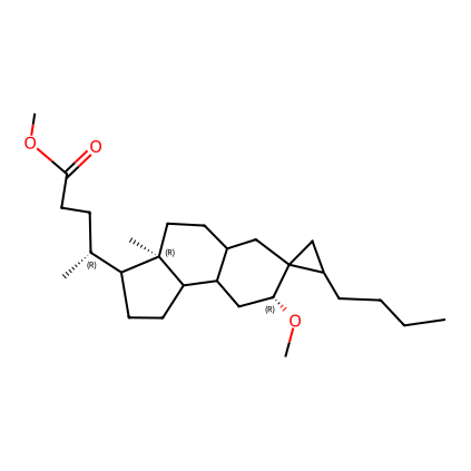 CCCCC1CC12CC1CC[C@@]3(C)C(CCC3[C@H](C)CCC(=O)OC)C1C[C@H]2OC